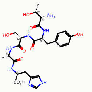 C[C@H](NC(=O)[C@H](CO)NC(=O)[C@H](Cc1ccc(O)cc1)NC(=O)[C@@H](N)[C@@H](C)O)C(=O)N[C@@H](Cc1c[nH]cn1)C(=O)O